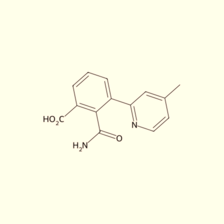 Cc1ccnc(-c2cccc(C(=O)O)c2C(N)=O)c1